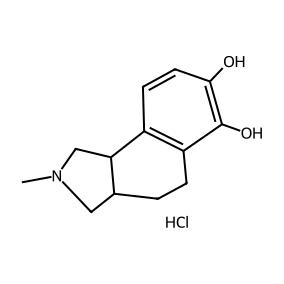 CN1CC2CCc3c(ccc(O)c3O)C2C1.Cl